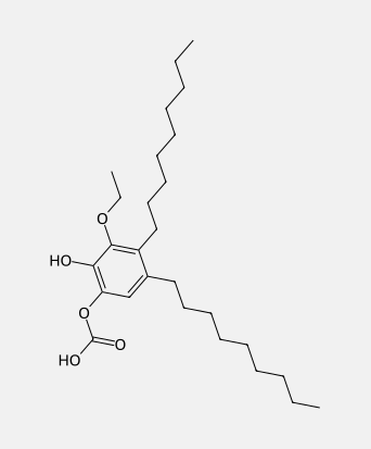 CCCCCCCCCc1cc(OC(=O)O)c(O)c(OCC)c1CCCCCCCCC